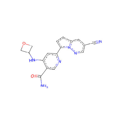 N#Cc1cnn2c(-c3cc(NC4COC4)c(C(N)=O)cn3)ccc2c1